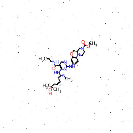 C=CCNC(=O)c1cnc(Nc2ccc3c(c2)OCC2CN(C(=O)OC)CCN32)nc1N/C(=C/C=C\CC(C)(C)O)N=C